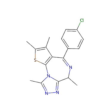 Cc1sc2c(c1C)C(c1ccc(Cl)cc1)=NC(C)c1nnc(C)n1-2